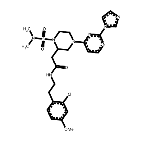 COc1ccc(CCNC(=O)CC2CN(c3ccnc(-n4ccnc4)n3)CCN2S(=O)(=O)N(C)C)c(Cl)c1